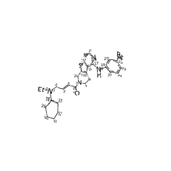 CCN(C/C=C/C(=O)N1CCc2c(sc3ncnc(Nc4cccc(Br)c4)c23)C1)C1CCCCC1